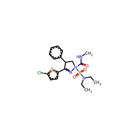 CCN(CC)S(=O)(=O)[N+]1(C(=O)NC)CC(c2ccccc2)C(c2ccc(Cl)s2)=N1